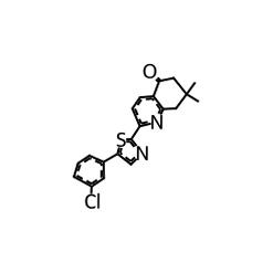 CC1(C)CC(=O)c2ccc(-c3ncc(-c4cccc(Cl)c4)s3)nc2C1